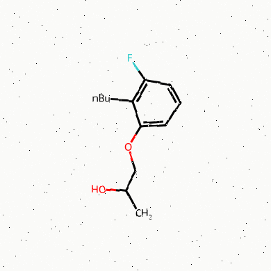 CCCCc1c(F)cccc1OCC(C)O